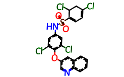 O=S(=O)(Nc1cc(Cl)c(Oc2cnc3ccccc3c2)c(Cl)c1)C1=CC=C(Cl)CC1Cl